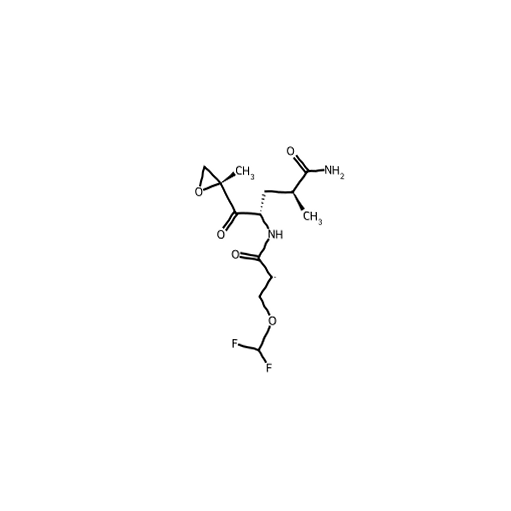 C[C@@H](C[C@H](NC(=O)[CH]COC(F)F)C(=O)[C@@]1(C)CO1)C(N)=O